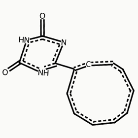 O=c1nc(-c2ccccccccc2)[nH]c(=O)[nH]1